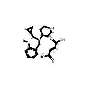 CSc1ccccc1CN(CC1CC1)C1CCNCC1.O=C(O)/C=C/C(=O)O